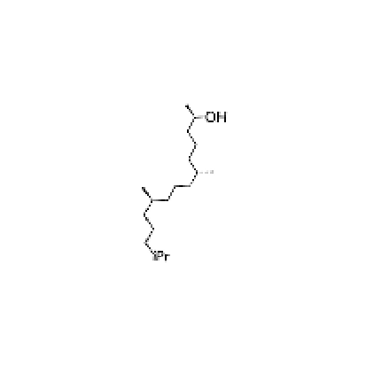 CC(C)CCC[C@@H](C)CCC[C@@H](C)CCC[C@@H](C)O